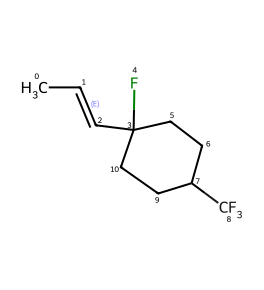 C/C=C/C1(F)CCC(C(F)(F)F)CC1